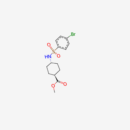 COC(=O)[C@H]1CC[C@H](NS(=O)(=O)c2ccc(Br)cc2)CC1